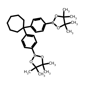 CC1(C)OB(c2ccc(C3(c4ccc(B5OC(C)(C)C(C)(C)O5)cc4)CCCCCC3)cc2)OC1(C)C